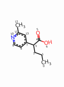 CCCC(C(=O)O)c1ccnc(C)c1